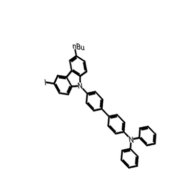 CCCCc1ccc2c(c1)c1cc(I)ccc1n2-c1ccc(-c2ccc(N(c3ccccc3)c3ccccc3)cc2)cc1